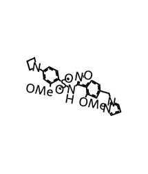 COc1cc(N2CCC2)ccc1S(=O)(=O)Nc1noc2cc(Cn3cccn3)cc(OC)c12